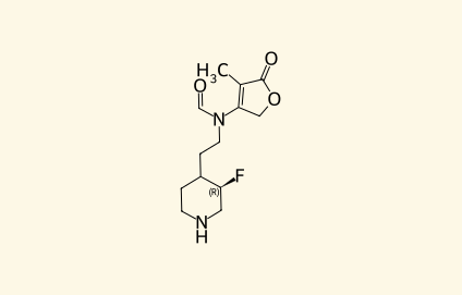 CC1=C(N(C=O)CCC2CCNC[C@@H]2F)COC1=O